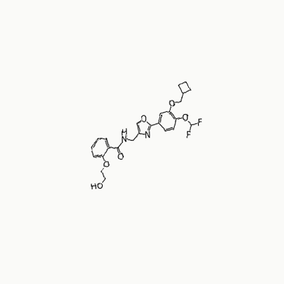 O=C(NCc1coc(-c2ccc(OC(F)F)c(OCC3CCC3)c2)n1)c1ccccc1OCCO